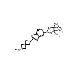 CN1CC2(CC(c3nc4cc(B5OC(C)(C)C(C)(C)O5)ccc4s3)C2)C1